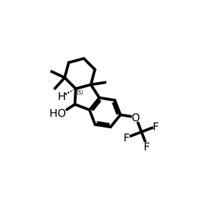 CC1(C)CCCC2(C)c3cc(OC(F)(F)F)ccc3C(O)[C@@H]12